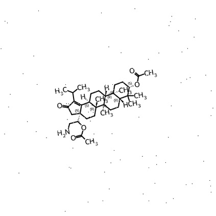 CC(=O)OC(CN)[C@@]12CC[C@]3(C)[C@H](CC[C@@H]4[C@@]5(C)CC[C@H](OC(C)=O)C(C)(C)[C@@H]5CC[C@]43C)C1=C(C(C)C)C(=O)C2